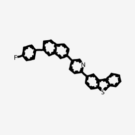 Fc1ccc(-c2ccc3ccc(-c4ccc(-c5ccc6sc7ccccc7c6c5)nc4)cc3c2)cc1